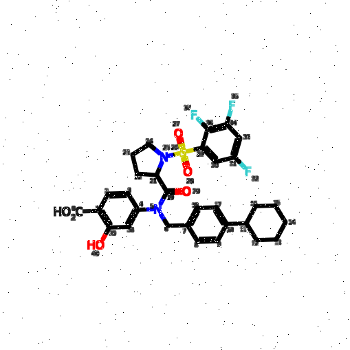 O=C(O)c1ccc(N(Cc2ccc(C3CCCCC3)cc2)C(=O)C2CCCN2S(=O)(=O)c2cc(F)cc(F)c2F)cc1O